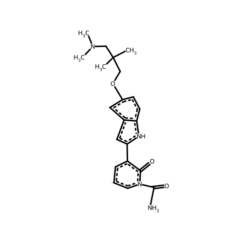 CN(C)CC(C)(C)COc1ccc2[nH]c(-c3c[c]cn(C(N)=O)c3=O)cc2c1